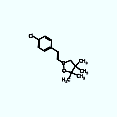 CC1(C)CB(/C=C/c2ccc(Cl)cc2)OC1(C)C